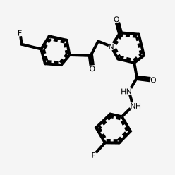 O=C(Cn1cc(C(=O)NNc2ccc(F)cc2)ccc1=O)c1ccc(CF)cc1